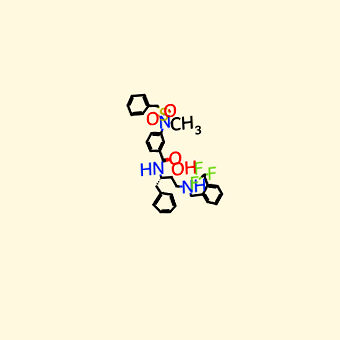 CN(c1cccc(C(=O)N[C@@H](Cc2ccccc2)[C@H](O)CNCc2ccccc2C(F)(F)F)c1)S(=O)(=O)Cc1ccccc1